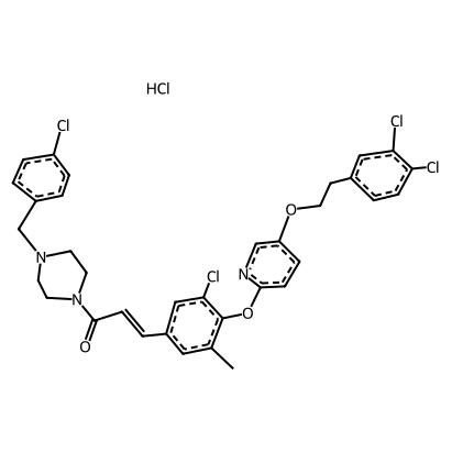 Cc1cc(/C=C/C(=O)N2CCN(Cc3ccc(Cl)cc3)CC2)cc(Cl)c1Oc1ccc(OCCc2ccc(Cl)c(Cl)c2)cn1.Cl